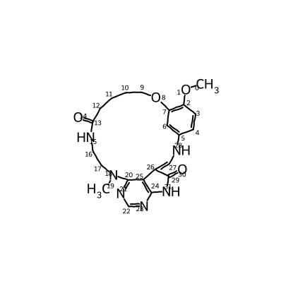 COc1ccc2cc1OCCCCC(=O)NCCN(C)c1ncnc3c1/C(=C/N2)C(=O)N3